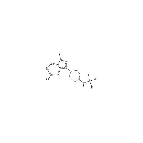 CC(N1CCC(c2nn(C)c3cnc(Cl)nc23)CC1)C(F)(F)F